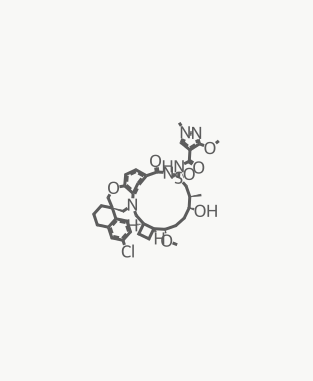 COc1nn(C)cc1C(=O)NS1(=O)=NC(=O)c2ccc3c(c2)N(C[C@@H]2CC[C@H]2[C@@H](OC)CC[C@H](O)[C@H](C)C1)C[C@@]1(CCCc2cc(Cl)ccc21)CO3